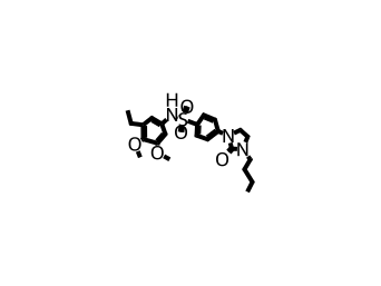 CCCCN1CCN(c2ccc(S(=O)(=O)Nc3cc(CC)c(OC)c(OC)c3)cc2)C1=O